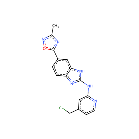 Cc1noc(-c2ccc3nc(Nc4cc(CCl)ccn4)[nH]c3c2)n1